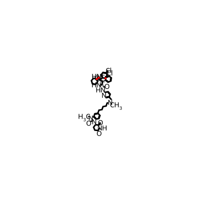 CN(CCCCCc1ccc2c(c1)n(C)c(=O)n2C1CCC(=O)NC1=O)Cc1ccc(NC(=O)[C@@H]2NC3(CCCCC3)[C@@]3(C(=O)Nc4cc(Cl)ccc43)[C@H]2c2cccc(Cl)c2F)nc1